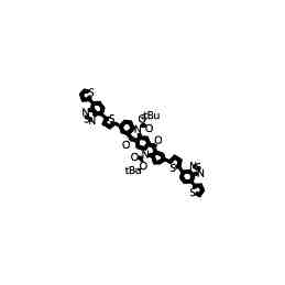 CC(C)(C)OC(=O)n1c2ccc(-c3ccc(-c4ccc(-c5cccs5)c5nsnc45)s3)cc2c(=O)c2cc3c(cc21)c(=O)c1cc(-c2ccc(-c4ccc(-c5cccs5)c5nsnc45)s2)ccc1n3C(=O)OC(C)(C)C